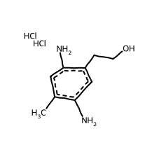 Cc1cc(N)c(CCO)cc1N.Cl.Cl